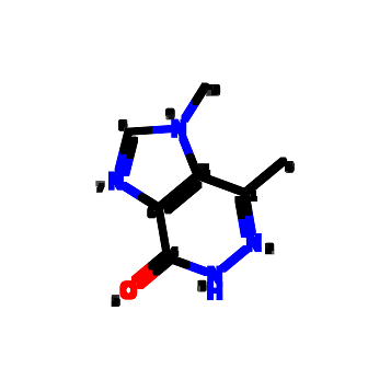 Cc1n[nH]c(=O)c2ncn(C)c12